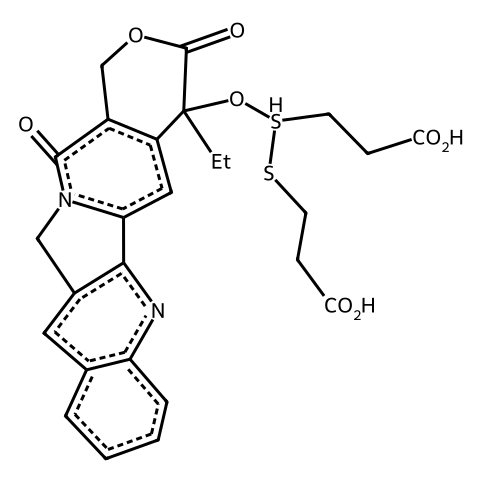 CCC1(O[SH](CCC(=O)O)SCCC(=O)O)C(=O)OCc2c1cc1n(c2=O)Cc2cc3ccccc3nc2-1